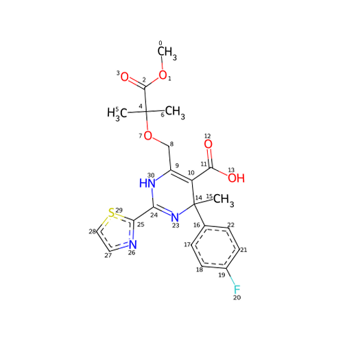 COC(=O)C(C)(C)OCC1=C(C(=O)O)C(C)(c2ccc(F)cc2)N=C(c2nccs2)N1